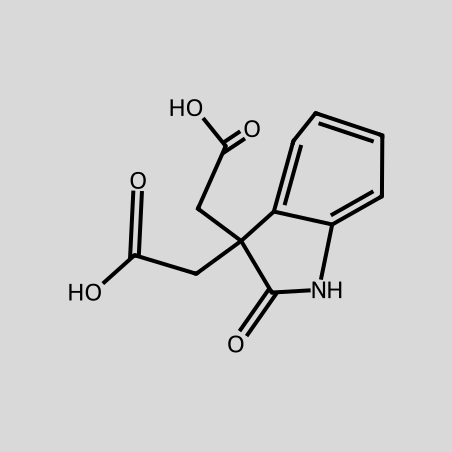 O=C(O)CC1(CC(=O)O)C(=O)Nc2ccccc21